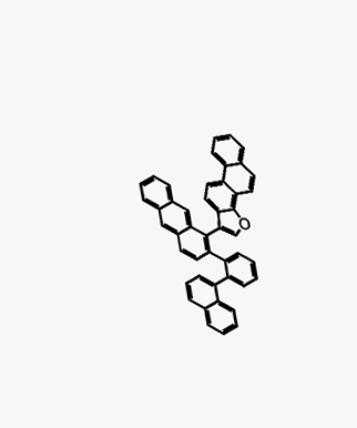 c1ccc(-c2cccc3ccccc23)c(-c2ccc3cc4ccccc4cc3c2-c2coc3c2ccc2c4ccccc4ccc23)c1